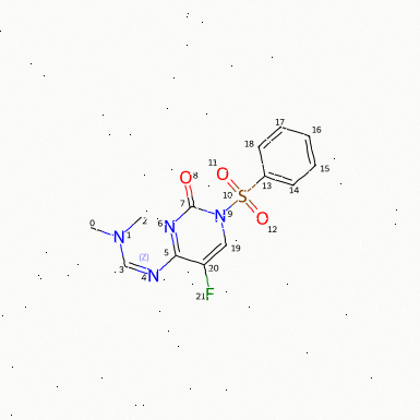 CN(C)/C=N\c1nc(=O)n(S(=O)(=O)c2ccccc2)cc1F